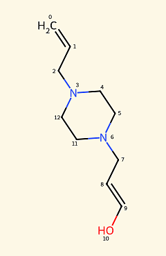 C=CCN1CCN(CC=CO)CC1